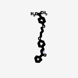 C=C(C)c1ccc(OCCCCOc2ccc(/C=C/C(=O)c3ccccc3)cc2)cc1